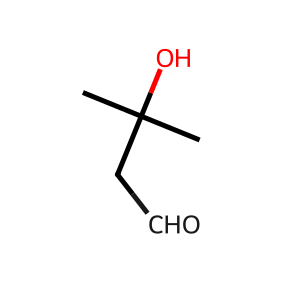 CC(C)(O)CC=O